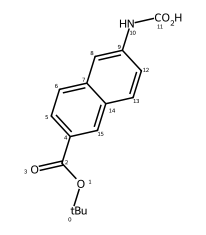 CC(C)(C)OC(=O)c1ccc2cc(NC(=O)O)ccc2c1